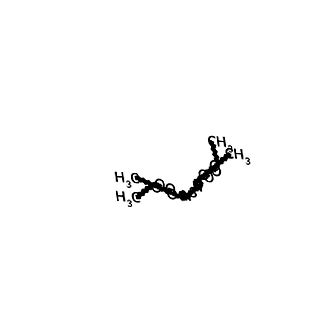 CCCCCCCCC(CCCCCC)COC(=O)CCCC(=O)OCCC1CCN(CCSCCN2CCC(CCOC(=O)CCCC(=O)OCC(CCCCCC)CCCCCCCC)CC2)CC1